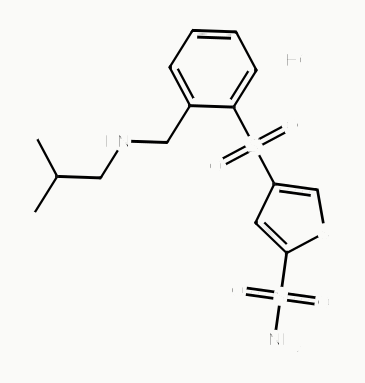 CC(C)CNCc1ccccc1S(=O)(=O)c1csc(S(N)(=O)=O)c1.Cl